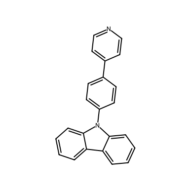 c1ccc2c(c1)c1ccccc1n2-c1ccc(-c2ccncc2)cc1